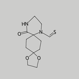 O=C1NCCN(C=S)C12CCC1(CC2)OCCO1